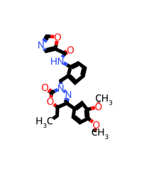 CCC1OC(=O)N(Cc2ccccc2NC(=O)c2cnco2)N=C1c1ccc(OC)c(OC)c1